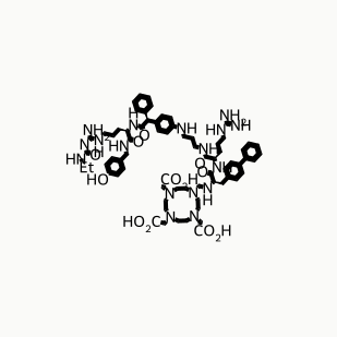 CCNC(=O)/N=C(/N)NCCC[C@@H](NC(=O)[C@@H](c1ccccc1)c1ccc(NCCCNC(=O)[C@@H](CCCNC(=N)N)NC(=O)[C@@H](Cc2ccc(-c3ccccc3)cc2)NCN2CCN(CC(=O)O)CCN(CC(=O)O)CCN(CC(=O)O)CC2)cc1)C(=O)NCc1ccc(O)cc1